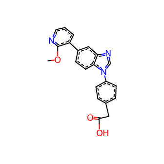 COc1ncccc1-c1ccc2c(c1)ncn2-c1ccc(CC(=O)O)cc1